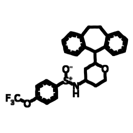 [O-][S+](NC1CCOC(C2c3ccccc3CCc3ccccc32)C1)c1ccc(OC(F)(F)F)cc1